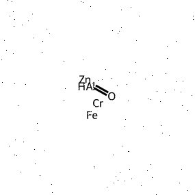 [Cr].[Fe].[O]=[AlH].[Zn]